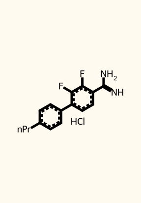 CCCc1ccc(-c2ccc(C(=N)N)c(F)c2F)cc1.Cl